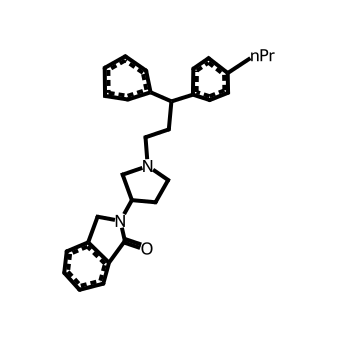 CCCc1ccc(C(CCN2CCC(N3Cc4ccccc4C3=O)C2)c2ccccc2)cc1